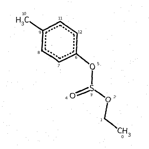 CCOS(=O)Oc1ccc(C)cc1